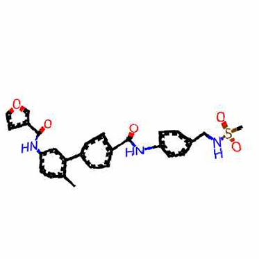 Cc1ccc(NC(=O)c2ccoc2)cc1-c1ccc(C(=O)Nc2ccc(CNS(C)(=O)=O)cc2)cc1